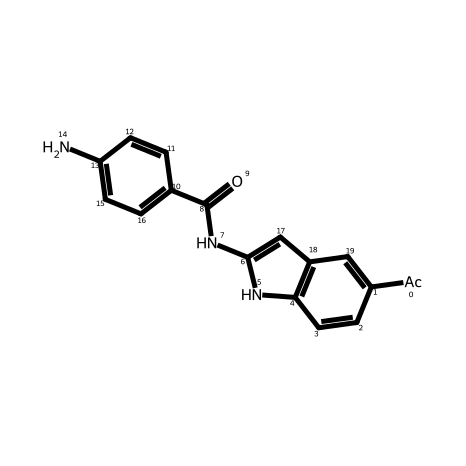 CC(=O)c1ccc2[nH]c(NC(=O)c3ccc(N)cc3)cc2c1